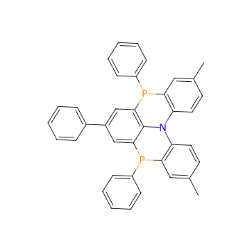 Cc1ccc2c(c1)P(c1ccccc1)c1cc(-c3ccccc3)cc3c1N2c1ccc(C)cc1P3c1ccccc1